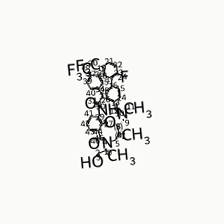 CC(CO)N1C[C@@H](C)[C@@H](CN(C)Cc2ccc(-c3cc(C(F)(F)F)ccc3F)cc2)Oc2c(NC(=O)Cc3ccc(C(F)(F)F)cc3)cccc2C1=O